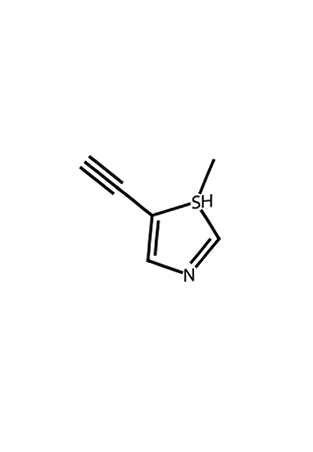 C#CC1=CN=C[SH]1C